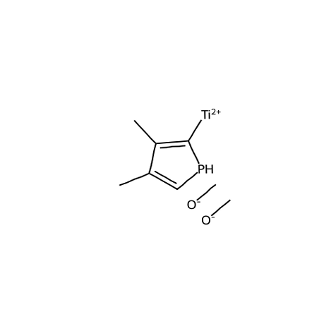 C[O-].C[O-].Cc1c[pH][c]([Ti+2])c1C